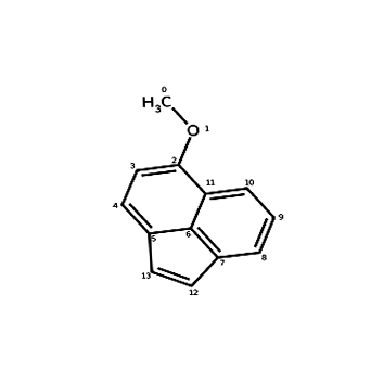 COc1ccc2c3c(cccc13)C=C2